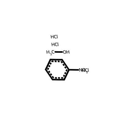 CO.Cl.Cl.Cl.O=[N+]([O-])c1ccccc1